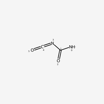 [NH]C(=O)N=C=O